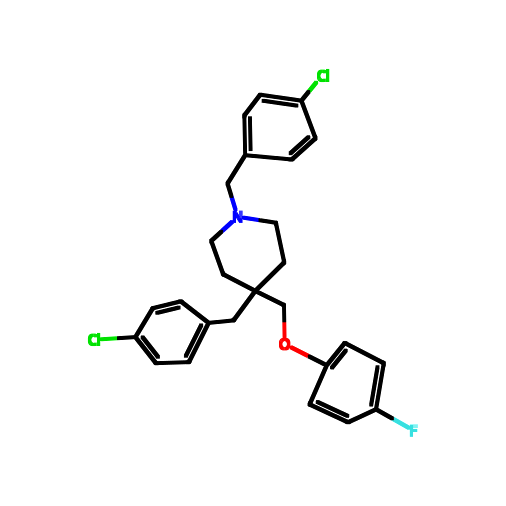 Fc1ccc(OCC2(Cc3ccc(Cl)cc3)CCN(Cc3ccc(Cl)cc3)CC2)cc1